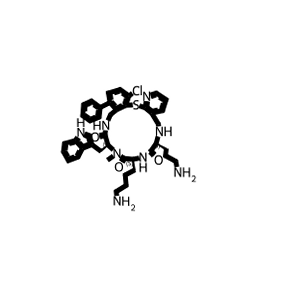 CN1C(=O)[C@H](CCCCN)NC(=O)[C@H](CCCN)NCc2cccnc2Sc2c(Cl)ccc(-c3ccccc3)c2CNC(=O)[C@@H]1Cc1c[nH]c2ccccc12